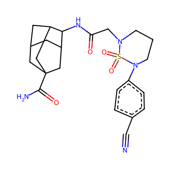 N#Cc1ccc(N2CCCN(CC(=O)NC3C4CC5CC3CC(C(N)=O)(C5)C4)S2(=O)=O)cc1